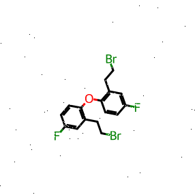 Fc1ccc(Oc2ccc(F)cc2CCBr)c(CCBr)c1